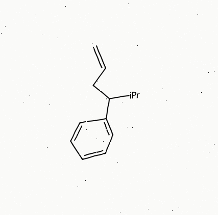 C=CC[C](c1ccccc1)C(C)C